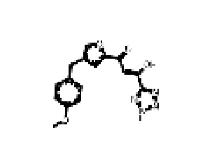 COc1ccc(Cc2coc(C(=O)C=C(O)c3nn[nH]n3)c2)cc1